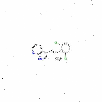 O=C(O)C(=Cc1c[nH]c2ncccc12)c1c(Cl)cccc1Cl